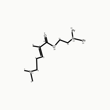 CC(=CCCN(C)C)C(=O)OCCN(C(C)C)C(C)C